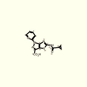 O=C(O)c1nn(-c2ccccn2)c2nc(NC(=O)C3CC3)sc12